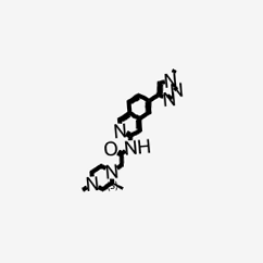 C[C@H]1CN(C)CCN1CC(=O)Nc1cc2cc(-c3cn(C)nn3)ccc2cn1